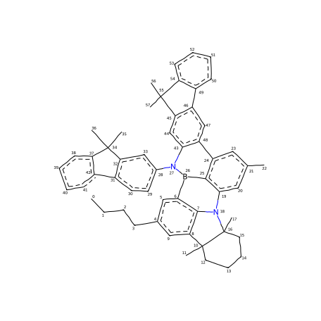 CCCCc1cc2c3c(c1)C1(C)CCCCC1(C)N3c1cc(C)cc3c1B2N(c1ccc2c(c1)C(C)(C)c1ccccc1-2)c1cc2c(cc1-3)-c1ccccc1C2(C)C